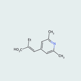 CC/C(=C\c1cc(C)nc(C)c1)C(=O)O